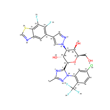 Cc1nc([C@@H]2O[C@H](CO)[C@H](O)[C@H](n3cc(-c4cc5ncsc5c(F)c4F)cn3)[C@H]2O)n(-c2cc(Cl)ccc2C(F)(F)F)n1